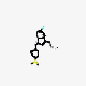 C=S(C)c1ccc(/C=C2\C=C(CC(=O)O)c3cc(F)ccc32)cc1